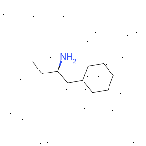 CC[C@@H](N)CC1CCCCC1